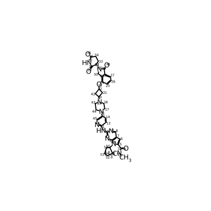 CN(C)C(=O)c1cc2cnc(Nc3ccc(N4CCN(C5CC(Oc6cccc7c6CN([C@H]6CCC(=O)NC6=O)C7=O)C5)CC4)cn3)nc2n1C1CCCC1